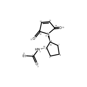 CCC(=O)N[C@H]1CCC[C@@H]1N1C(=O)C=CC1=O